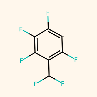 Fc1[c]c(F)c(C(F)F)c(F)c1F